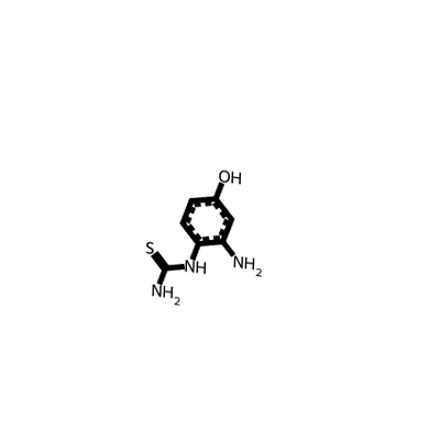 NC(=S)Nc1ccc(O)cc1N